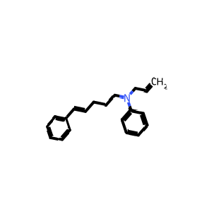 C=CCN(CCCC=Cc1ccccc1)c1ccccc1